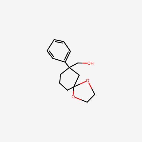 OCC1(c2ccccc2)CCCC2(C1)OCCO2